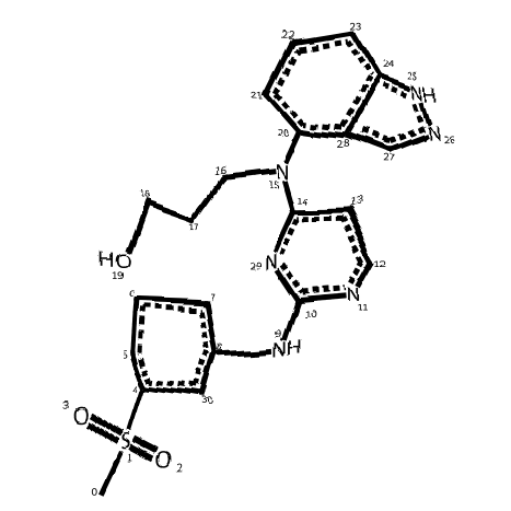 CS(=O)(=O)c1cccc(Nc2nccc(N(CCCO)c3cccc4[nH]ncc34)n2)c1